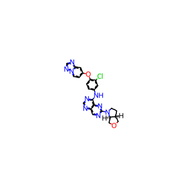 Clc1cc(Nc2ncnc3cnc(N4CC[C@@H]5COC[C@H]54)nc23)ccc1Oc1ccn2ncnc2c1